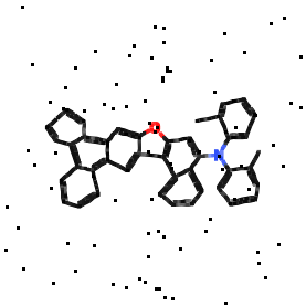 Cc1ccccc1N(c1ccccc1C)c1cc2oc3cc4c5ccccc5c5ccccc5c4cc3c2c2ccccc12